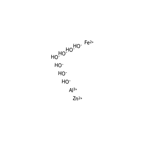 [Al+3].[Fe+2].[OH-].[OH-].[OH-].[OH-].[OH-].[OH-].[OH-].[Zn+2]